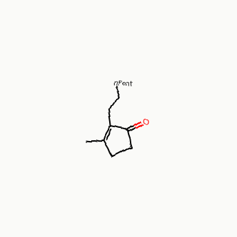 CCCCCCCC1=C(C)CCC1=O